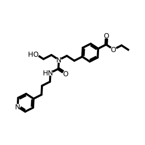 CCOC(=O)c1ccc(CCN(CCO)C(=O)NCCCc2ccncc2)cc1